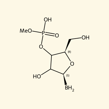 B[C@@H]1O[C@H](CO)C(OP(=O)(O)OC)C1O